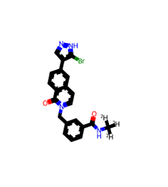 [2H]C([2H])([2H])NC(=O)c1cccc(Cn2ccc3cc(-c4cn[nH]c4Br)ccc3c2=O)c1